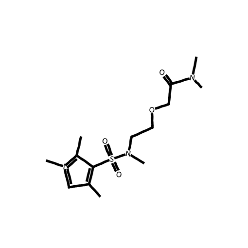 CC1=C(S(=O)(=O)N(C)CCOCC(=O)N(C)C)C(C)=I(C)=C1